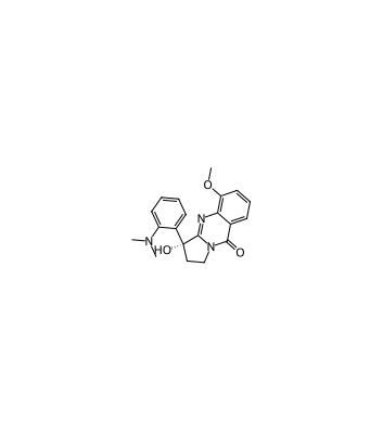 COc1cccc2c(=O)n3c(nc12)[C@](O)(c1ccccc1N(C)C)CC3